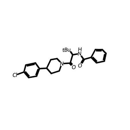 CC(C)(C)C(NC(=O)c1ccccc1)C(=O)N1CCC(c2ccc(Cl)cc2)CC1